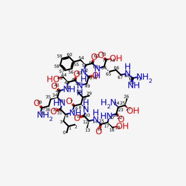 CC(C)C[C@H](NC(=O)[C@@H](NC(=O)[C@H](C)NC(=O)[C@H](CO)NC(=O)[C@@H](N)[C@@H](C)O)C(C)C)C(=O)N[C@@H](CCC(N)=O)C(=O)N[C@@H](CO)C(=O)NCC(=O)N[C@@H](Cc1ccccc1)C(=O)N[C@@H](CCCNC(=N)N)C(=O)O